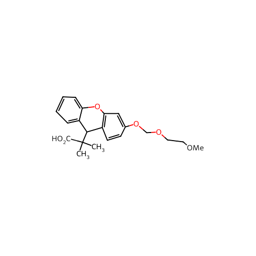 COCCOCOc1ccc2c(c1)Oc1ccccc1C2C(C)(C)C(=O)O